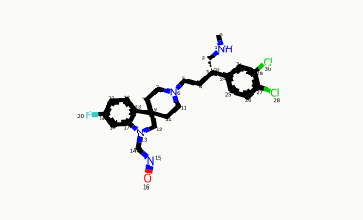 CNC[C@@H](CCN1CCC2(CC1)CN(CN=O)c1cc(F)ccc12)c1ccc(Cl)c(Cl)c1